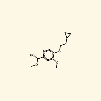 COc1cc(C(O)OC)ncc1OCCC1CC1